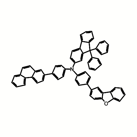 c1ccc(C2(c3ccccc3)c3ccccc3-c3ccc(N(c4ccc(-c5ccc6c(ccc7ccccc76)c5)cc4)c4ccc(-c5ccc6oc7ccccc7c6c5)cc4)cc32)cc1